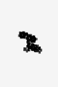 CN(CCOCCN(Cc1ccccc1)Cc1ccccc1)C(=O)OC(C)(C)C